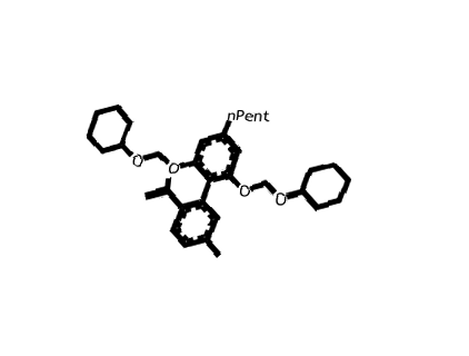 C=C(C)c1ccc(C)cc1-c1c(OCOC2CCCCC2)cc(CCCCC)cc1OCOC1CCCCC1